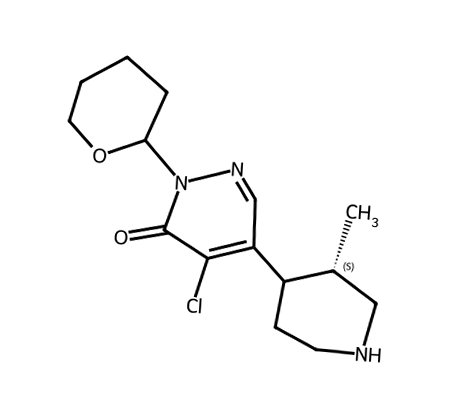 C[C@@H]1CNCCC1c1cnn(C2CCCCO2)c(=O)c1Cl